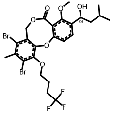 COc1c([C@@H](O)CC(C)C)ccc2c1C(=O)OCc1c(Br)c(C)c(Br)c(OCCCC(F)(F)F)c1O2